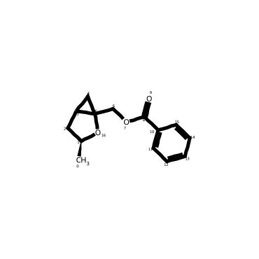 C[C@H]1CC2CC2(COC(=O)c2ccccc2)O1